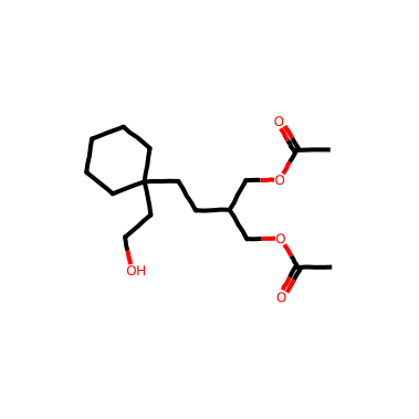 CC(=O)OCC(CCC1(CCO)CCCCC1)COC(C)=O